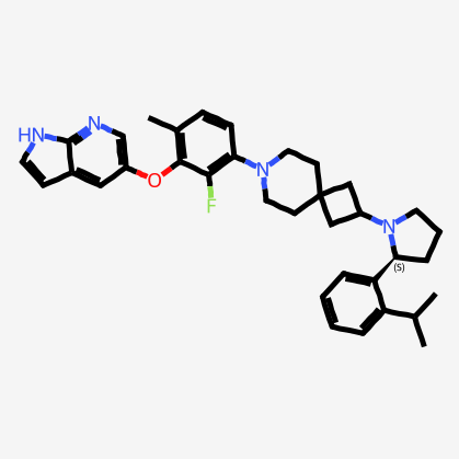 Cc1ccc(N2CCC3(CC2)CC(N2CCC[C@H]2c2ccccc2C(C)C)C3)c(F)c1Oc1cnc2[nH]ccc2c1